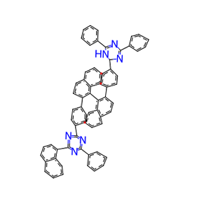 c1ccc(C2=NC(c3ccc(-c4ccc5ccccc5c4-c4c(-c5ccc(-c6nc(-c7ccccc7)nc(-c7cccc8ccccc78)n6)cc5)ccc5ccccc45)cc3)NC(c3ccccc3)=N2)cc1